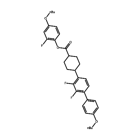 CCCCOc1ccc(-c2ccc(C3CCC(C(=O)Oc4ccc(OCCCC)cc4F)CC3)c(F)c2F)cc1